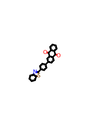 O=C1c2ccccc2C(=O)c2cc(-c3ccc(-c4nc5ccccc5s4)cc3)ccc21